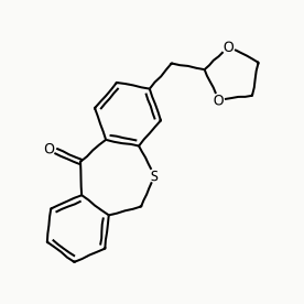 O=C1c2ccccc2CSc2cc(CC3OCCO3)ccc21